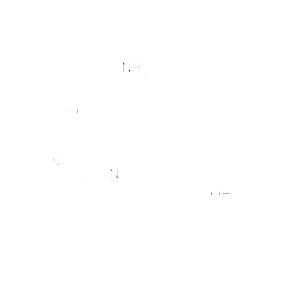 CC(=O)N1CC(O)[CH]C1C(N)=O